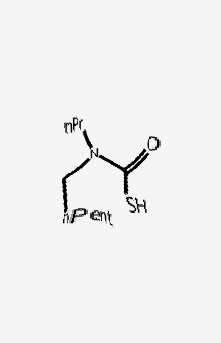 CCCCCCN(CCC)C(=O)S